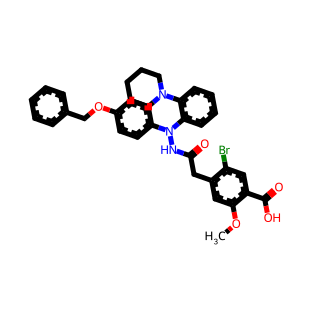 COc1cc(CC(=O)NN(c2ccc(OCc3ccccc3)cc2)c2ccccc2N2CCCCC2)c(Br)cc1C(=O)O